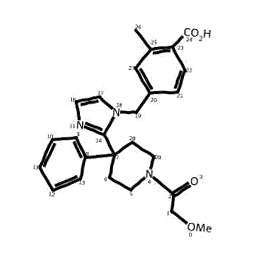 COCC(=O)N1CCC(c2ccccc2)(c2nccn2Cc2ccc(C(=O)O)c(C)c2)CC1